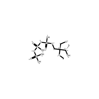 CO[C@](CCl)(COP(=O)(O)OP(=O)(O)OP(=O)(O)O)[C@H](C)O